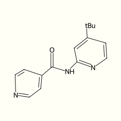 CC(C)(C)c1ccnc(NC(=O)c2ccncc2)c1